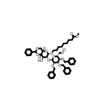 COC(=O)CCCCCCCCO[C@H]1O[C@@H]2COC(c3ccccc3)O[C@H]2[C@H](O)[C@H]1O[C@H]1O[C@H](COCl)[C@@H](OCc2ccccc2)[C@H](OCc2ccccc2)[C@H]1OCc1ccccc1